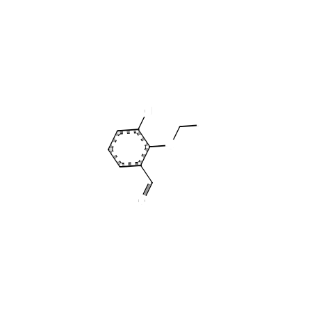 O=Cc1cccc(Cl)c1OCF